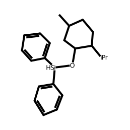 CC1CCC(C(C)C)C(O[SiH](c2ccccc2)c2ccccc2)C1